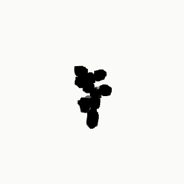 c1ccc(-c2cc(-c3ccccc3)c(-c3ccccc3)c(-c3cccc(-c4cc(-c5ccc(-c6ccccc6)c6c5oc5ccccc56)nc(-c5ccccc5)n4)c3)c2)cc1